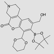 CN1CCc2c(c(=O)oc3c(C4OCCCO4)c(B4OC(C)(C)C(C)(C)O4)c(CO)cc23)C1